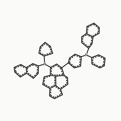 c1ccc(N(c2ccc(-c3cc(N(c4ccccc4)c4ccc5ccccc5c4)c4ccc5cccc6ccc3c4c65)cc2)c2ccc3ccccc3c2)cc1